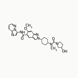 COc1cc2nn(C3CCC(N(C)C(=O)N4CC[C@@H](O)C4)CC3)cc2cc1C(=O)Nc1cnc2cccnn12